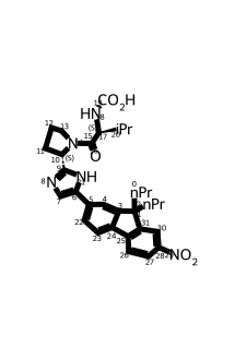 CCCC1(CCC)c2cc(-c3cnc([C@@H]4CCCN4C(=O)[C@@H](NC(=O)O)C(C)C)[nH]3)ccc2-c2ccc([N+](=O)[O-])cc21